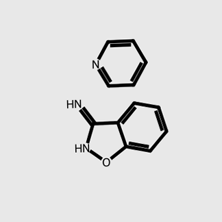 N=c1[nH]oc2ccccc12.c1ccncc1